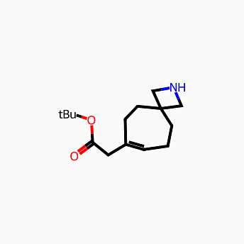 CC(C)(C)OC(=O)CC1=CCCC2(CC1)CNC2